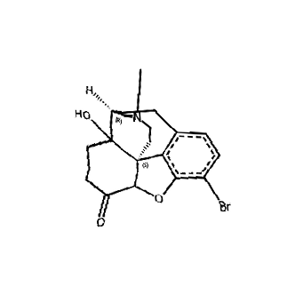 CN1CC[C@]23c4c5ccc(Br)c4OC2C(=O)CCC3(O)[C@H]1C5